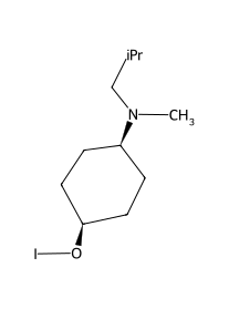 CC(C)CN(C)[C@H]1CC[C@@H](OI)CC1